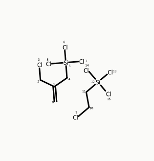 C=C(CCl)C[Si](Cl)(Cl)Cl.ClCC[Si](Cl)(Cl)Cl